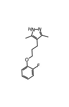 Cc1n[nH]c(C)c1CCCOc1ccccc1F